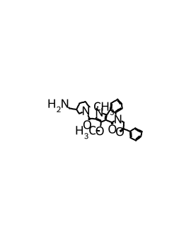 COc1c(C(=O)N2CCCC(CN)C2)n(C)c2c1c(=O)n(CC(=O)c1ccccc1)c1ccccc21